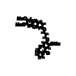 COc1ccc(Oc2cc(OCCCOc3cc4c(cc3OC)C(=O)N3CCC[C@H]3C=N4)ccc2N)cc1OC